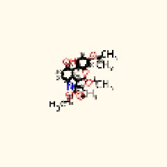 CCOC(=O)C1=c2c(-c3ccc(OC(C)C)cc3)c(O)ccc2=NC1(CC)C(=O)OCC